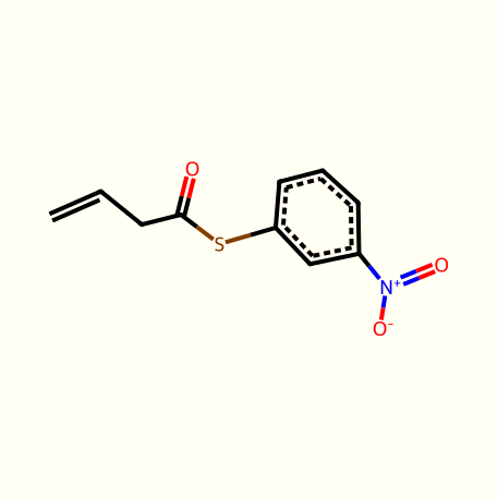 C=CCC(=O)Sc1cccc([N+](=O)[O-])c1